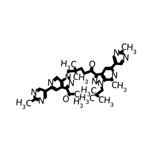 CC(=O)c1nn(CC(C)(C)CCC(=O)c2nn(CC(C)(C)C)c3c(C)nc(-c4cnc(C)nc4)cc23)c2cnc(-c3cnc(C)nc3)cc12